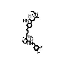 CCc1nc(C)c(/C=C2\C(=O)Nc3cc(/C=C/CNc4ncccc4C(=O)NCc4ccc(F)c(F)c4)ccc32)[nH]1